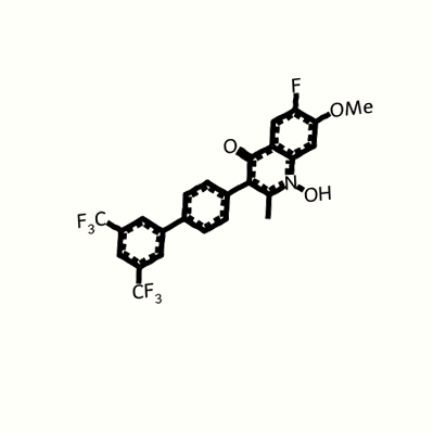 COc1cc2c(cc1F)c(=O)c(-c1ccc(-c3cc(C(F)(F)F)cc(C(F)(F)F)c3)cc1)c(C)n2O